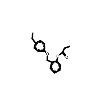 CCC(=O)Oc1ccccc1COc1ccc(CC)cc1